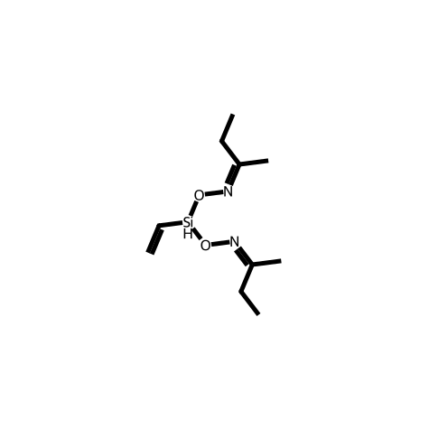 C=C[SiH](ON=C(C)CC)ON=C(C)CC